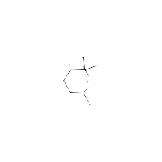 [CH2]C1CCCC(C)(C)O1